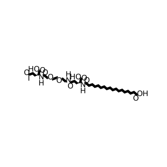 O=C(O)CCCCCCCCCCCCCCCCC(=O)N[C@@H](CCC(=O)NCCOCCOCC(=O)N[C@@H](CCC(=O)I)C(=O)O)C(=O)O